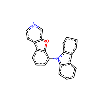 c1cc(-n2c3ccccc3c3ccccc32)c2oc3cnccc3c2c1